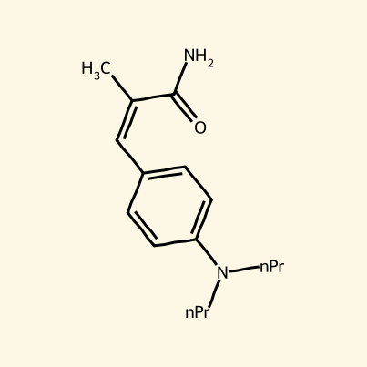 CCCN(CCC)c1ccc(C=C(C)C(N)=O)cc1